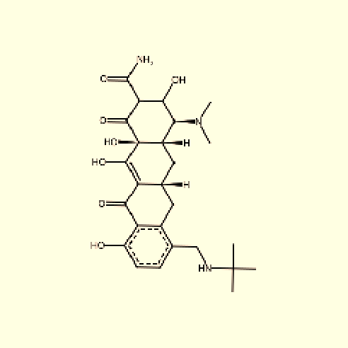 CN(C)[C@@H]1C(O)C(C(N)=O)C(=O)[C@@]2(O)C(O)=C3C(=O)c4c(O)ccc(CNC(C)(C)C)c4C[C@H]3C[C@@H]12